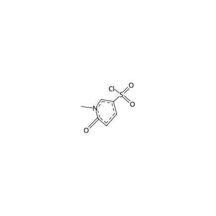 Cn1cc(S(=O)(=O)Cl)ccc1=O